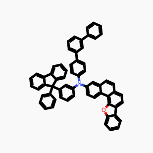 c1ccc(-c2cccc(-c3ccc(N(c4cccc(C5(c6ccccc6)c6ccccc6-c6ccccc65)c4)c4ccc5c(ccc6ccc7c8ccccc8oc7c65)c4)cc3)c2)cc1